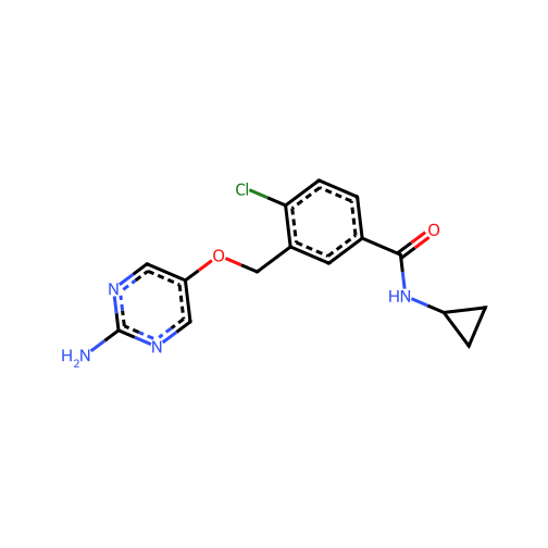 Nc1ncc(OCc2cc(C(=O)NC3CC3)ccc2Cl)cn1